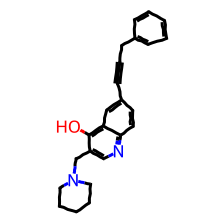 Oc1c(CN2CCCCC2)cnc2ccc(C#CCc3ccccc3)cc12